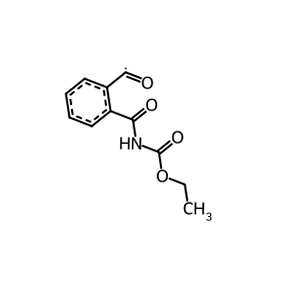 CCOC(=O)NC(=O)c1ccccc1[C]=O